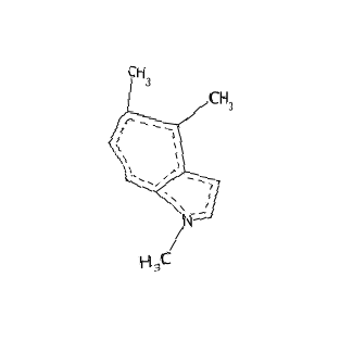 Cc1ccc2c(ccn2C)c1C